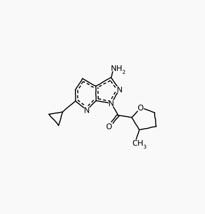 CC1CCOC1C(=O)n1nc(N)c2ccc(C3CC3)nc21